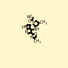 Cc1coc(-c2cnc3[nH]ccc3c2N[C@@H]2C[C@H](C)CN(C(=O)CC#N)C2)n1